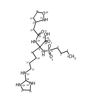 CCCCS(=O)(=O)NC(CCCCNC1NCCN1)(NC(=O)CC1CCON1)C(=O)O